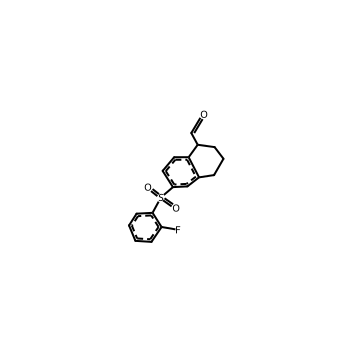 O=CC1CCCc2cc(S(=O)(=O)c3ccccc3F)ccc21